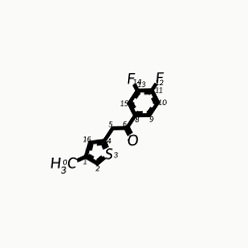 Cc1csc(CC(=O)c2ccc(F)c(F)c2)c1